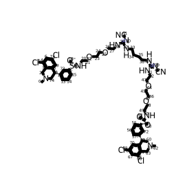 CN1Cc2c(Cl)cc(Cl)cc2[C@H](c2cccc([S+]([O-])NCCOCCOCCN/C(=N\C#N)NCCCCN/C(=N/C#N)NCCOCCOCCNS(=O)(=O)c3cccc([C@@H]4CN(C)Cc5c(Cl)cc(Cl)cc54)c3)c2)C1